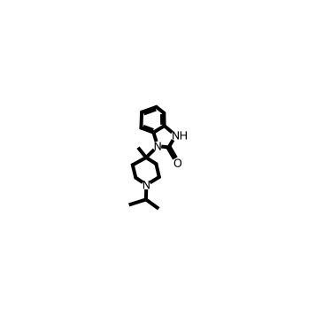 CC(C)N1CCC(C)(n2c(=O)[nH]c3ccccc32)CC1